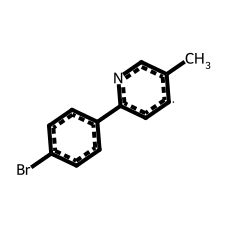 Cc1[c]cc(-c2ccc(Br)cc2)nc1